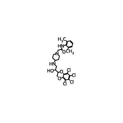 Cc1cccc(C)c1NC(=O)CN1CCC(NCC(O)C2COc3c(Cl)c(Cl)c(Cl)c(Cl)c3O2)CC1